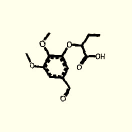 CCC(Oc1cc(C=O)cc(OC)c1OC)C(=O)O